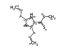 C=CCc1nc(CC=C)c(C(=S)SC)[nH]1